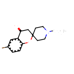 O=C1CC2(CCN(C(=O)O)CC2)Oc2ccc(Br)cc21